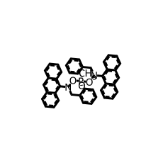 CP(=O)(ON(Cc1ccccc1)c1c2ccccc2cc2ccccc12)ON(Cc1ccccc1)c1c2ccccc2cc2ccccc12